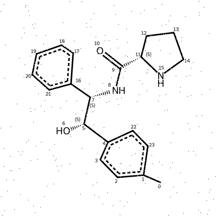 Cc1ccc([C@H](O)[C@@H](NC(=O)[C@@H]2CCCN2)c2ccccc2)cc1